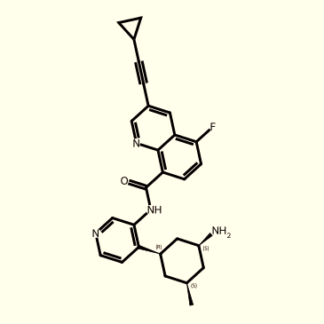 C[C@@H]1C[C@H](N)C[C@H](c2ccncc2NC(=O)c2ccc(F)c3cc(C#CC4CC4)cnc23)C1